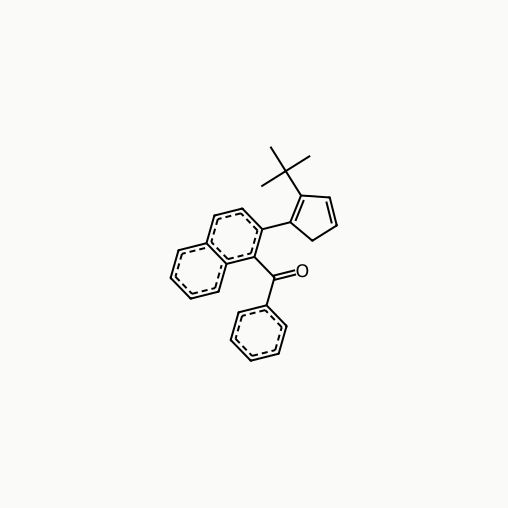 CC(C)(C)C1=C(c2ccc3ccccc3c2C(=O)c2ccccc2)CC=C1